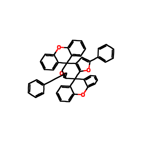 c1ccc(-c2cc3c(o2)C2(c4ccccc4Oc4ccccc42)c2cc(-c4ccccc4)oc2C32c3ccccc3Oc3ccccc32)cc1